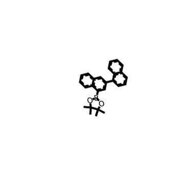 CC1(C)OB(c2cc(-c3cccc4ccccc34)cc3ccccc23)OC1(C)C